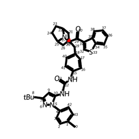 Cc1ccc(-n2nc(C(C)(C)C)cc2NC(=O)Nc2ccc(CC3CC4CCC(C3)N4CC(=O)c3csc4ccccc34)cc2)cc1